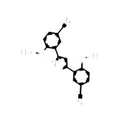 COc1ccc(C#N)cc1-c1cc(-c2cc(C#N)ccc2OC)on1